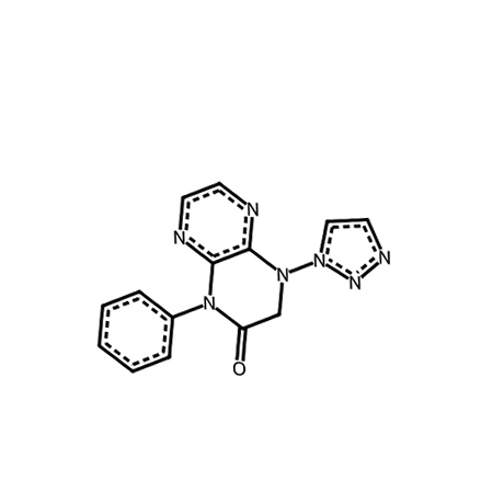 O=C1CN(n2ccnn2)c2nccnc2N1c1ccccc1